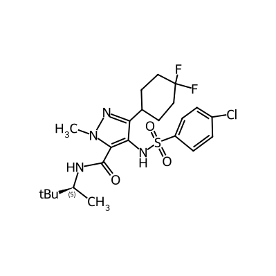 C[C@H](NC(=O)c1c(NS(=O)(=O)c2ccc(Cl)cc2)c(C2CCC(F)(F)CC2)nn1C)C(C)(C)C